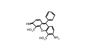 N=c1ccc2c(-c3ccccc3)c3ccc(N)c(S(=O)(=O)O)c3oc-2c1S(=O)(=O)O